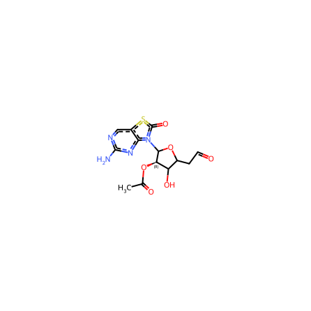 CC(=O)O[C@@H]1C(O)C(CC=O)OC1n1c(=O)sc2cnc(N)nc21